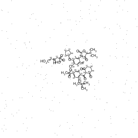 CC(C)=C1OC(=O)N(c2cc(OC3CCCC3)c(Cl)cc2F)C1=O.CS(=O)(=O)c1ccc(C(=O)C2C(=O)CCCC2=O)c(Cl)c1.C[S+](C)C.O=C(O)CNCP(=O)([O-])O